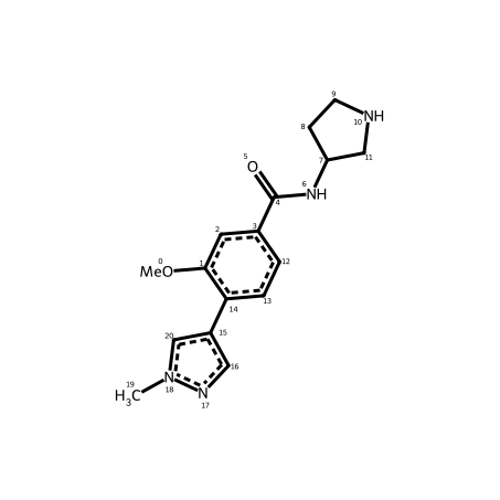 COc1cc(C(=O)NC2CCNC2)ccc1-c1cnn(C)c1